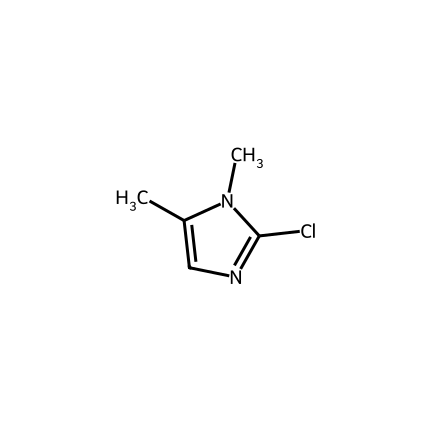 Cc1cnc(Cl)n1C